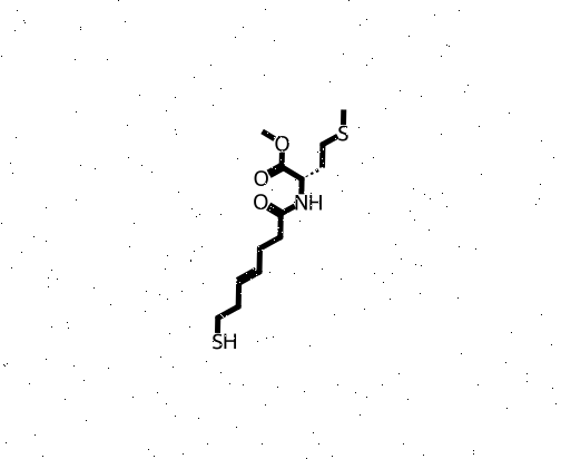 COC(=O)[C@H](CCSC)NC(=O)CC/C=C/CCS